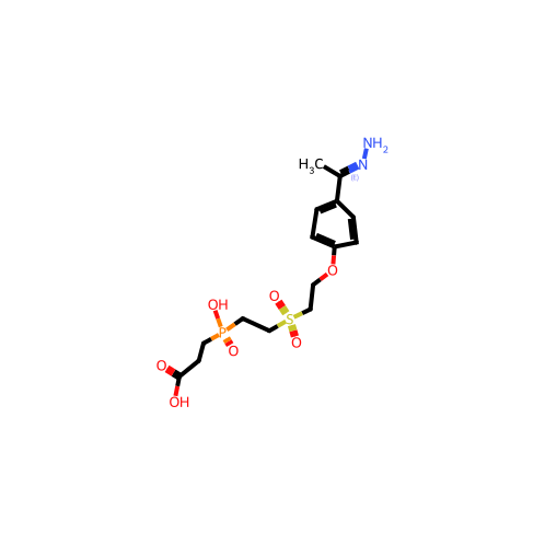 C/C(=N\N)c1ccc(OCCS(=O)(=O)CCP(=O)(O)CCC(=O)O)cc1